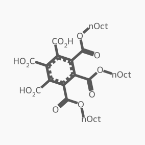 CCCCCCCCOC(=O)c1c(C(=O)O)c(C(=O)O)c(C(=O)O)c(C(=O)OCCCCCCCC)c1C(=O)OCCCCCCCC